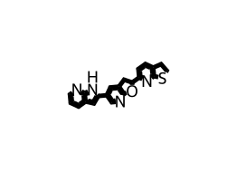 c1cnc2[nH]c(-c3cnc4c(c3)CC(c3ccc5c(n3)SCC5)O4)cc2c1